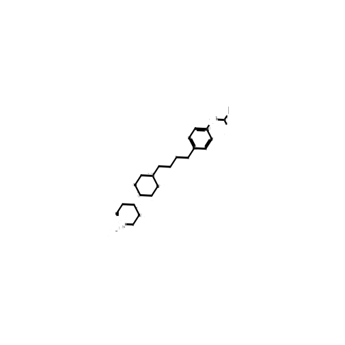 FC(F)Oc1ccc(CCCCC2CCC([C@H]3CC[Si@H](Cl)CC3)CC2)cc1